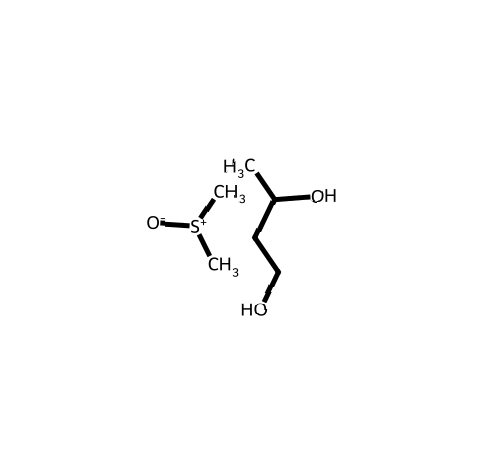 CC(O)CCO.C[S+](C)[O-]